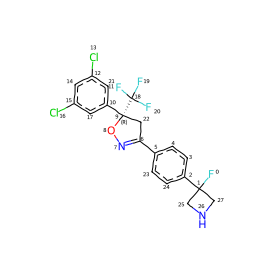 FC1(c2ccc(C3=NO[C@](c4cc(Cl)cc(Cl)c4)(C(F)(F)F)C3)cc2)CNC1